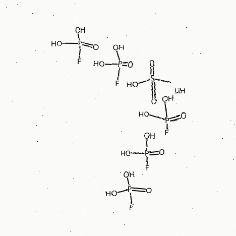 CS(=O)(=O)O.O=P(O)(O)F.O=P(O)(O)F.O=P(O)(O)F.O=P(O)(O)F.O=P(O)(O)F.[LiH]